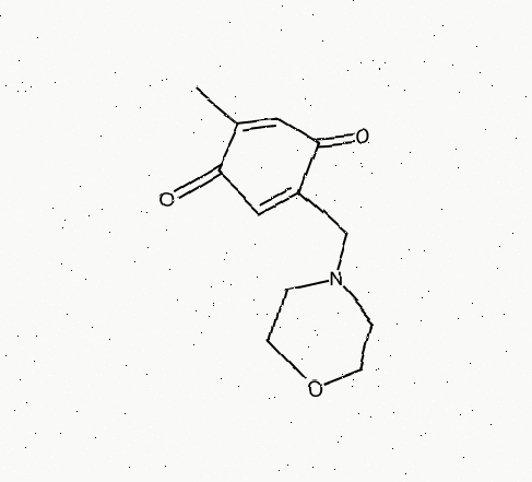 CC1=CC(=O)C(CN2CCOCC2)=CC1=O